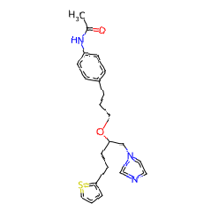 CC(=O)Nc1ccc(CCCOC(CCc2cccs2)Cn2ccnc2)cc1